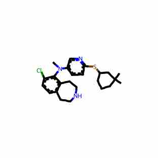 CN(c1ccc(SC2CCCC(C)(C)C2)nc1)c1c(Cl)ccc2c1CCNCC2